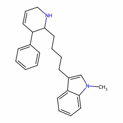 Cn1cc(CCCCC2NCC=CC2c2ccccc2)c2ccccc21